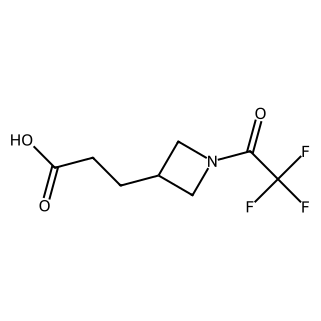 O=C(O)CCC1CN(C(=O)C(F)(F)F)C1